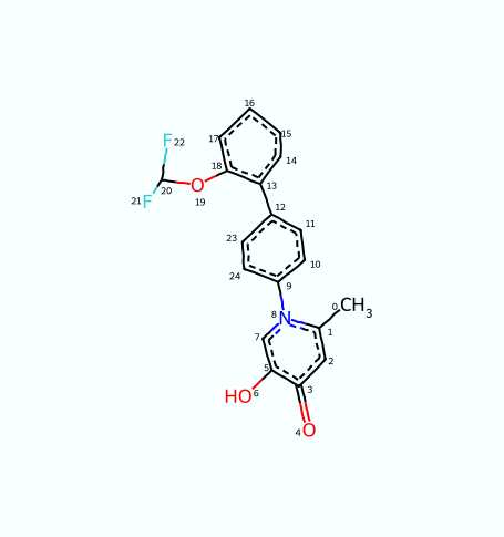 Cc1cc(=O)c(O)cn1-c1ccc(-c2ccccc2OC(F)F)cc1